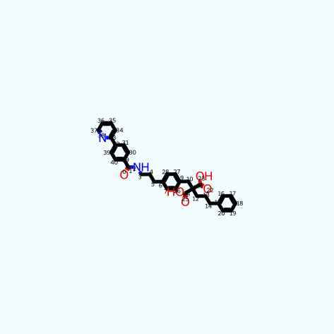 O=C(NCCCc1ccc(CC(CCCc2ccccc2)(C(=O)O)C(=O)O)cc1)c1ccc(-c2ccccn2)cc1